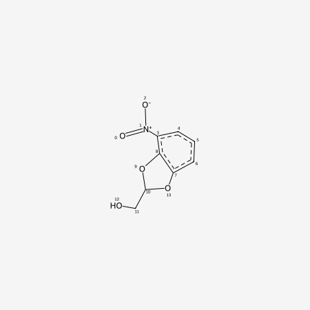 O=[N+]([O-])c1cccc2c1OC(CO)O2